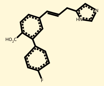 O=C(O)c1ccc(C=CCc2cnc[nH]2)cc1-c1ccc(F)cc1